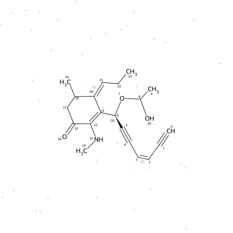 C#C/C=C\C#C[C@H](OC(C)O)C1=C(NC)C(=O)CC(C)/C1=C/CC